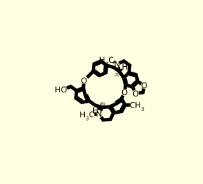 Cc1cc2c3cc1Oc1c4c(cc5c1[C@H](Cc1ccc(cc1)Oc1cc(ccc1CO)C[C@H]3N(C)CC2)N(C)CC5)OCO4